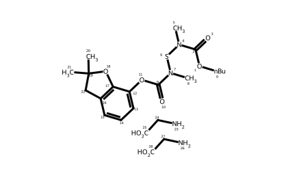 CCCCOC(=O)N(C)SN(C)C(=O)Oc1cccc2c1OC(C)(C)C2.NCC(=O)O.NCC(=O)O